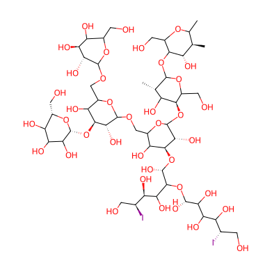 CC1OC(CO)C(OC2OC(CO)[C@@H](OC3OC(COC4OC(COC5OC(CO)C(O)[C@H](O)[C@H]5O)C(O)[C@H](O[C@H]5O[C@@H](CO)C(O)C(O)C5O)[C@H]4O)C(O)[C@H](O[C@@H](O)C(O[C@@H](O)C(O)C(O)C(O)[C@@H](I)CO)C(O)[C@H](O)[C@@H](I)CO)[C@H]3O)C(O)[C@@H]2C)[C@@H](O)[C@@H]1C